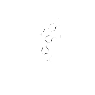 C=C(C)[C@@H]1C[C@H](O)C(C)=C[C@H]1c1c(O)cc(-c2ccnc(OC(F)F)c2)cc1O